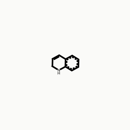 [C]1[C]=Cc2ccccc2N1